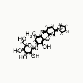 Cc1cc(O[C@@H]2O[C@H](CO)[C@@H](O)[C@H](O)[C@H]2O)c(O)c2oc3nc(=[N+]4CCCC4)ccc-3nc12